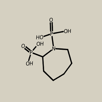 O=P(O)(O)C1CCCCCN1P(=O)(O)O